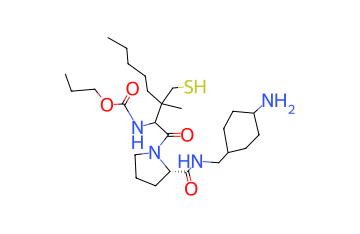 CCCCCC(C)(CS)C(NC(=O)OCCC)C(=O)N1CCC[C@H]1C(=O)NCC1CCC(N)CC1